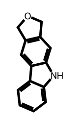 c1ccc2c(c1)[nH]c1cc3c(cc12)COC3